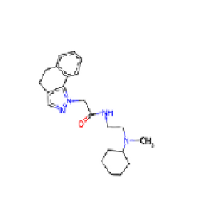 CN(CCNC(=O)Cn1ncc2c1-c1ccccc1CC2)C1CCCCC1